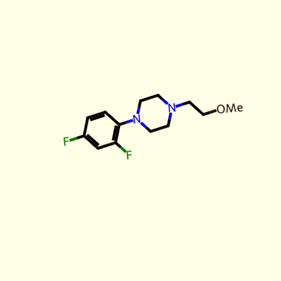 COCCN1CCN(c2ccc(F)cc2F)CC1